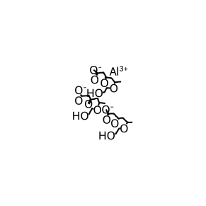 CC(CC(=O)CC(=O)[O-])OCCO.CC(CC(=O)CC(=O)[O-])OCCO.CC(CC(=O)CC(=O)[O-])OCCO.[Al+3]